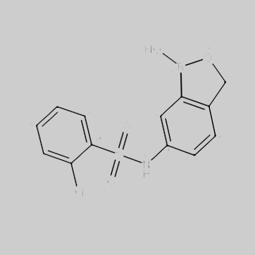 O=S(=O)(Nc1ccc2c(c1)B(O)OC2)c1ccccc1Cl